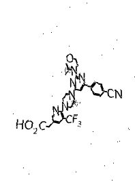 C[C@@H]1CN(c2ncc(CC(=O)O)cc2C(F)(F)F)CCN1c1cc(-c2ccc(C#N)cc2)nc(N2CCOC[C@@H]2C)n1